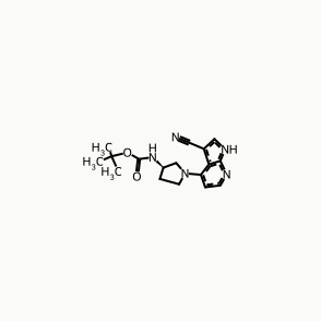 CC(C)(C)OC(=O)N[C@@H]1CCN(c2ccnc3[nH]cc(C#N)c23)C1